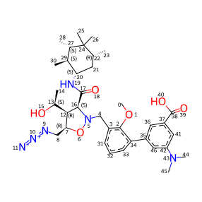 COc1c(CN2O[C@@H](CN=[N+]=[N-])[C@@H]([C@H](C)O)[C@H]2C(=O)N[C@H]2C[C@@H](C)C(C)(C)[C@@H](C)[C@@H]2C)cccc1-c1cc(C(=O)O)cc(N(C)C)c1